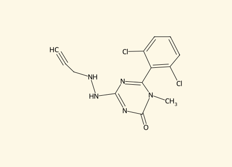 C#CCNNc1nc(-c2c(Cl)cccc2Cl)n(C)c(=O)n1